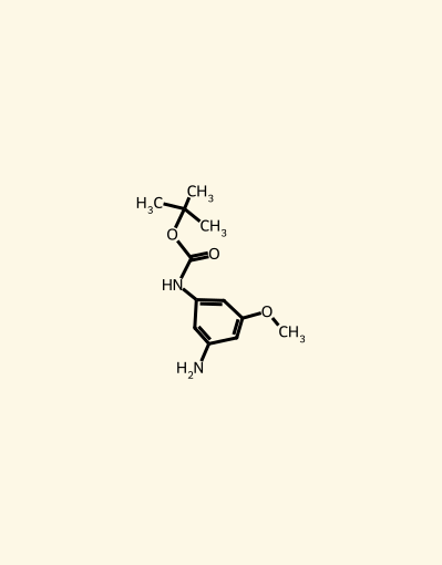 COc1cc(N)cc(NC(=O)OC(C)(C)C)c1